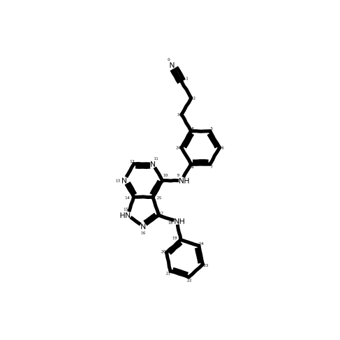 N#CCCc1cccc(Nc2ncnc3[nH]nc(Nc4ccccc4)c23)c1